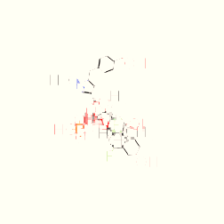 Cn1cc([C@@H]2O[C@@H]3C[C@H]4[C@@H]5C[C@H](F)C6=CC(O)C=C[C@]6(C)[C@@]5(F)[C@@H](O)C[C@]4(C)[C@]3(C(=O)COP(=O)(O)O)O2)cc1Cc1ccc(CO)cc1